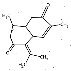 CC1=CC2C(=C(C)C)C(=O)CC(C)C2CC1=O